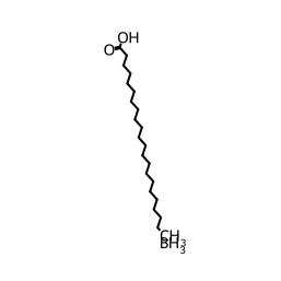 B.CCCCCCCCCCCCCCCCCCCCCC(=O)O